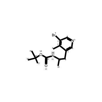 Cc1c(Br)cncc1CC(C)NC(=O)OC(C)(C)C